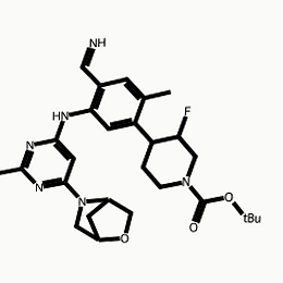 Cc1nc(Nc2cc(C3CCN(C(=O)OC(C)(C)C)CC3F)c(C)cc2C=N)cc(N2CC3CC2CO3)n1